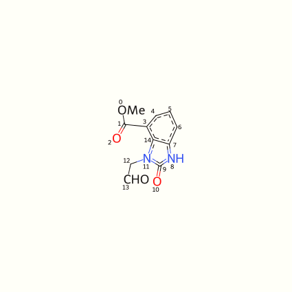 COC(=O)c1cccc2[nH]c(=O)n(CC=O)c12